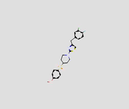 O=S(=O)(c1ccc(OC(F)(F)F)cc1)C1CCN(c2nc(Cc3ccc(F)c(Cl)c3)cs2)CC1